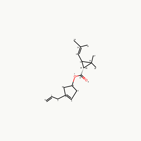 C=CCC1=CCC(OC(=O)[C@@H]2C(C=C(C)C)C2(C)C)C1